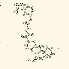 COC(=O)c1cccc(CNCCNC(=O)c2cccc(Nc3cc(C)nc4ccccc34)c2)c1